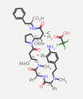 CC[C@H](C)[C@@H]([C@@H](CC(=O)N1CCC[C@H]1[C@H](OC)[C@@H](C)C(=O)N[C@@H](Cc1ccccc1)C(=O)O)OC)N(C)C(=O)[C@@H](NC(=O)[C@H](C(C)C)N(C)CCc1ccc(N)cc1)C(C)C.O=C(O)C(F)(F)F